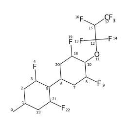 CC1CC(F)C(C2CC(F)C(OC(F)(F)C(F)C(F)(F)F)C(F)C2)C(F)C1